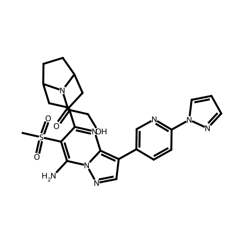 CS(=O)(=O)c1c(C2CC3CCC(C2)N3C(=O)CO)nc2c(-c3ccc(-n4cccn4)nc3)cnn2c1N